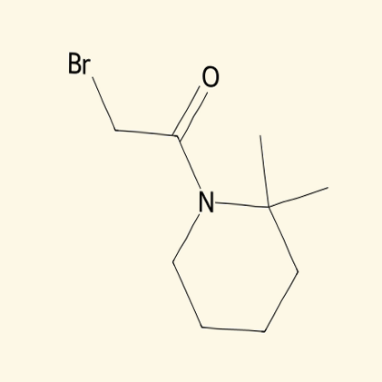 CC1(C)CCCCN1C(=O)CBr